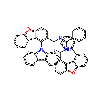 c1ccc(C2=NC(c3ccc4oc5ccccc5c4c3-n3c4ccccc4c4ccccc43)=NC(c3cccc4oc5cccc(-c6ccccc6)c5c34)N2)cc1